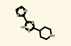 c1csc(-c2nc(C3CCNCC3)n[nH]2)n1